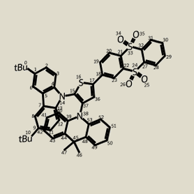 CC(C)(C)c1ccc2c(c1)c1cc(C(C)(C)C)ccc1n2-c1sc(-c2ccc3c(c2)S(=O)(=O)c2ccccc2S3(=O)=O)cc1N1c2ccccc2C(C)(C)c2ccccc21